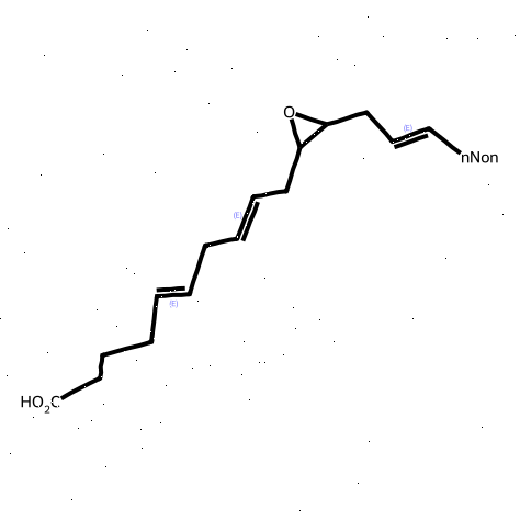 CCCCCCCCC/C=C/CC1OC1C/C=C/C/C=C/CCCC(=O)O